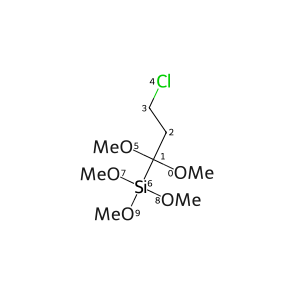 COC(CCCl)(OC)[Si](OC)(OC)OC